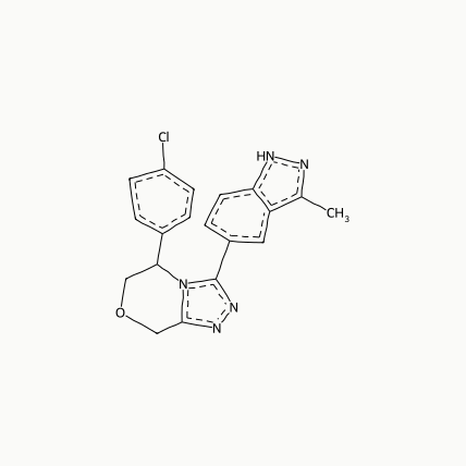 Cc1n[nH]c2ccc(-c3nnc4n3C(c3ccc(Cl)cc3)COC4)cc12